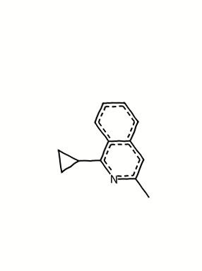 Cc1cc2ccccc2c(C2CC2)n1